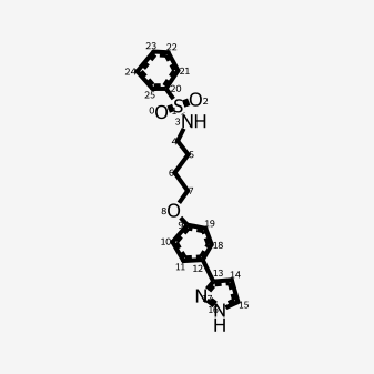 O=S(=O)(NCCCCOc1ccc(-c2cc[nH]n2)cc1)c1ccccc1